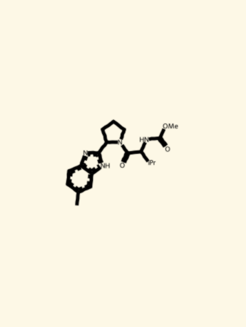 COC(=O)NC(C(=O)N1CCCC1c1nc2ccc(C)cc2[nH]1)C(C)C